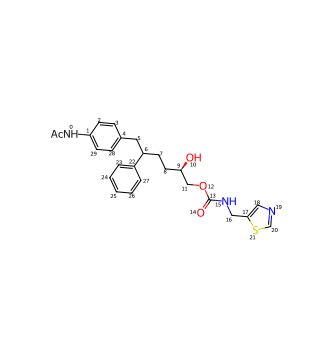 CC(=O)Nc1ccc(CC(CC[C@@H](O)COC(=O)NCc2cncs2)c2ccccc2)cc1